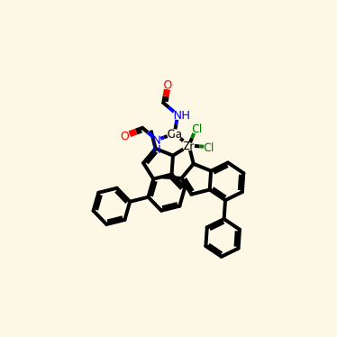 CC1=Cc2c(-c3ccccc3)cccc2[CH]1[Zr]([Cl])([Cl])([CH]1C(C)=Cc2c(-c3ccccc3)cccc21)[Ga]([NH]C=O)[NH]C=O